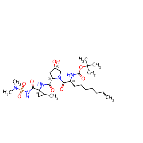 C=CCCCCC[C@H](NC(=O)OC(C)(C)C)C(=O)N1C[C@H](O)C[C@H]1C(=O)N[C@]1(C(=O)NS(=O)(=O)N(C)C)CC1C